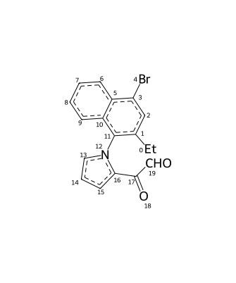 CCc1cc(Br)c2ccccc2c1-n1cccc1C(=O)C=O